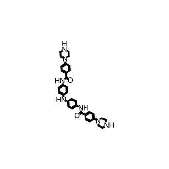 O=C(Nc1ccc(Nc2ccc(NC(=O)c3ccc(N4CCNCC4)cc3)cc2)cc1)c1ccc(N2CCNCC2)cc1